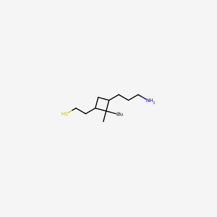 CCC(C)C1(C)C(CCS)CC1CCCN